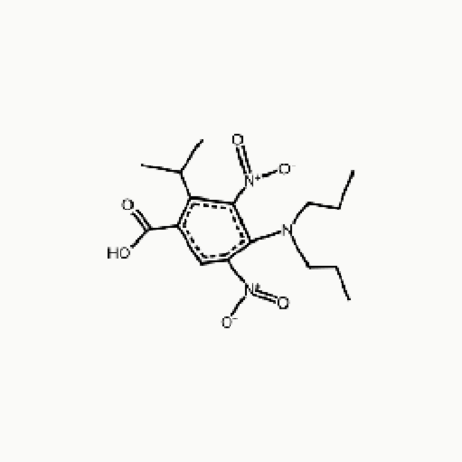 CCCN(CCC)c1c([N+](=O)[O-])cc(C(=O)O)c(C(C)C)c1[N+](=O)[O-]